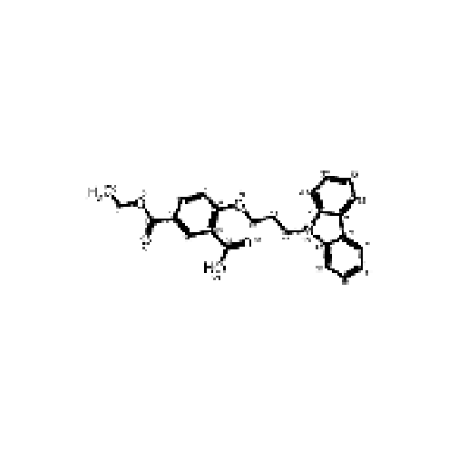 CCOC(=O)c1ccc(OCCCn2c3ccccc3c3ccccc32)c(C(=O)O)c1